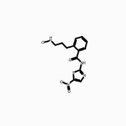 O=C(Nc1ncc([N+](=O)[O-])s1)c1ccccc1CCCNCl